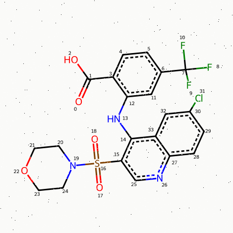 O=C(O)c1ccc(C(F)(F)F)cc1Nc1c(S(=O)(=O)N2CCOCC2)cnc2ccc(Cl)cc12